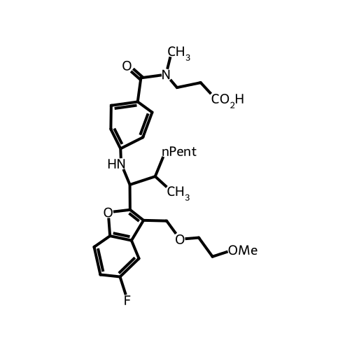 CCCCCC(C)C(Nc1ccc(C(=O)N(C)CCC(=O)O)cc1)c1oc2ccc(F)cc2c1COCCOC